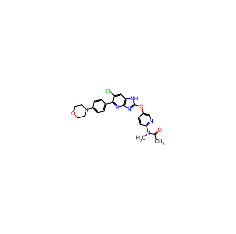 CC(=O)N(C)c1ccc(Oc2nc3nc(-c4ccc(N5CCOCC5)cc4)c(Cl)cc3[nH]2)cn1